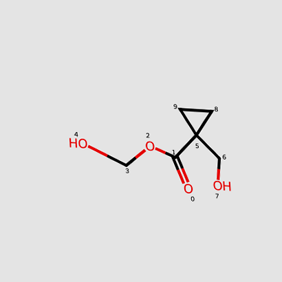 O=C(OCO)C1(CO)CC1